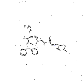 Cc1ccc(/C=C/C(=O)NC[C@@H]2CCN(CC(c3ccccc3)c3ccccc3)C(=O)[C@H](CCN)N2)cc1